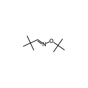 CC(C)(C)C=NOC(C)(C)C